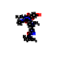 C=CCN1CC(=O)N2[C@@H](Cc3ccc(O)cc3)C(=O)N(Cc3cccc4c(-c5ccc(NC(=O)N(C)CC(C)C)nc5)cn(C)c34)C[C@@H]2N1C(=O)NCc1ccccc1